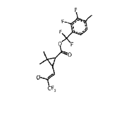 Cc1ccc(C(F)(F)OC(=O)C2C(C=C(Cl)C(F)(F)F)C2(C)C)c(F)c1F